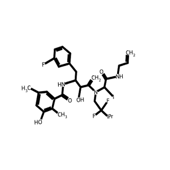 C=CCNC(=O)C(I)N(CC(F)(F)C(C)C)C(=C)C(O)C(Cc1cccc(F)c1)NC(=O)c1cc(C)cc(O)c1C